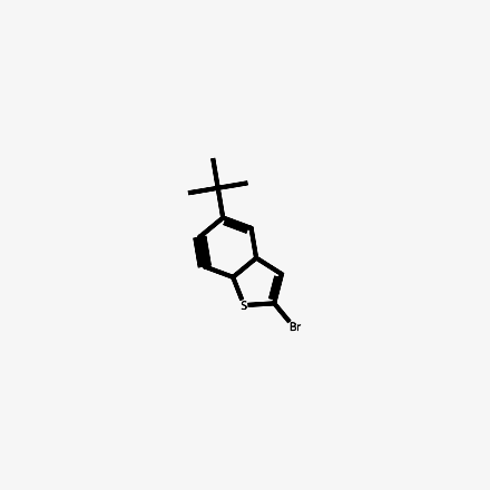 CC(C)(C)C1=CC2C=C(Br)SC2C#C1